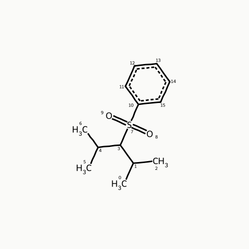 CC(C)C(C(C)C)S(=O)(=O)c1ccccc1